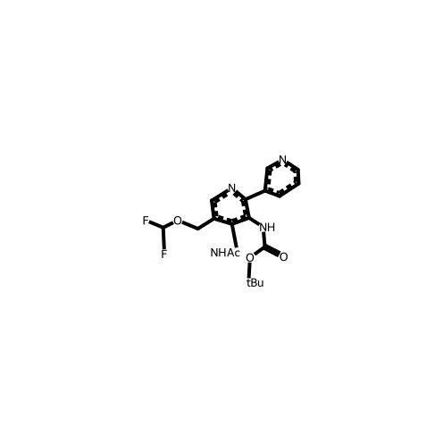 CC(=O)Nc1c(COC(F)F)cnc(-c2cccnc2)c1NC(=O)OC(C)(C)C